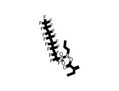 C=C(CC)C(=O)ON(CCC)S(=O)(=O)C(F)(F)C(F)(F)C(F)(F)C(F)(F)C(F)(F)C(F)(F)C(F)(F)C(F)(F)F